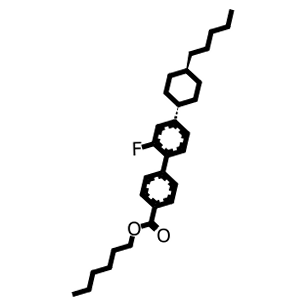 CCCCCCOC(=O)c1ccc(-c2ccc([C@H]3CC[C@H](CCCCC)CC3)cc2F)cc1